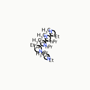 CCCN1CCC[CH2][Ga]([CH2]C)[CH2]CCC1.CCCN1CC[CH2][Ga]([CH3])[CH2]CC1.CCN1CC[CH2][Ga]([CH3])[CH2]CC1.CC[CH2][Ga]1[CH2]CCN(C)CC[CH2]1.C[CH2][Ga]1[CH2]CCN(C)CC[CH2]1